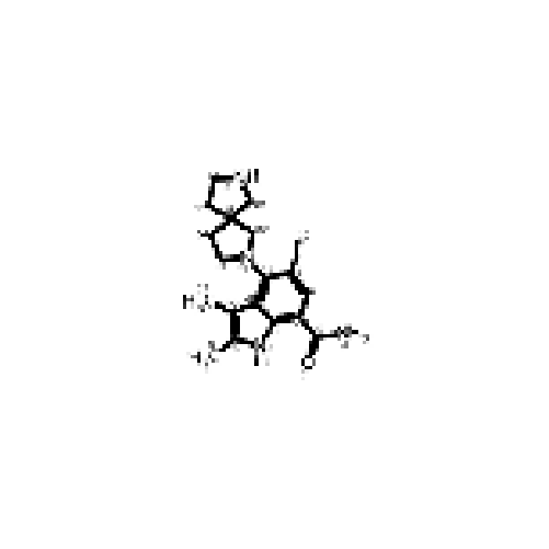 Cc1[nH]c2c(C(N)=O)cc(F)c(N3CCC4(CCNC4)C3)c2c1C